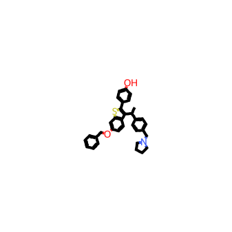 CC(c1ccc(CN2CCCC2)cc1)c1c(-c2ccc(O)cc2)sc2cc(OCc3ccccc3)ccc12